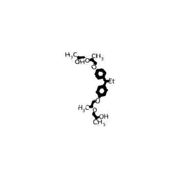 CCC(c1ccc(OCC(C)OCC(C)O)cc1)c1ccc(OCC(C)OCC(C)O)cc1